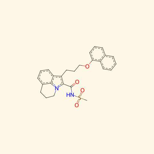 CS(=O)(=O)NC(=O)c1c(CCCOc2cccc3ccccc23)c2cccc3c2n1CCC3